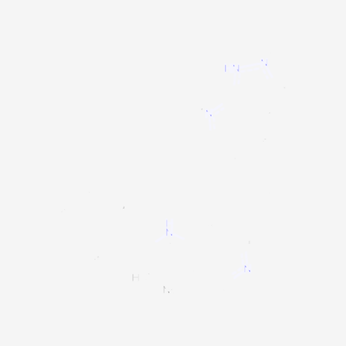 C[C@@H](Nc1c(C#N)cnc2ccc(-c3cnc4[nH]ncc4c3)cc12)c1ccccc1